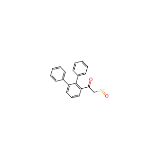 O=[S+]CC(=O)c1cccc(-c2ccccc2)c1-c1ccccc1